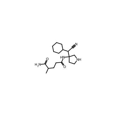 CC(C[CH]C(=O)NC1(C(C#N)C2CCCCC2)CCNC1)C(N)=O